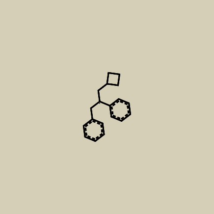 c1ccc(C[C](CC2CCC2)c2ccccc2)cc1